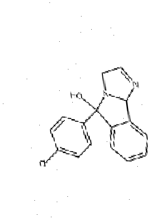 OC1(c2ccc(Cl)cc2)c2ccccc2C2N=CCN21